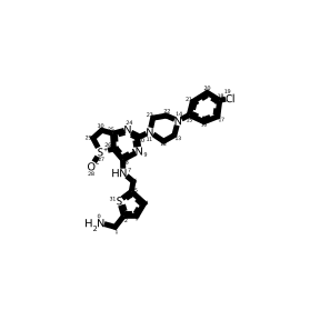 NCc1ccc(CNc2nc(N3CCN(c4ccc(Cl)cc4)CC3)nc3c2[S+]([O-])CC3)s1